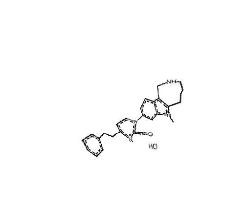 Cl.Cn1c2c(c3ccc(-n4ccc(CCc5ccccc5)nc4=O)cc31)CNCCC2